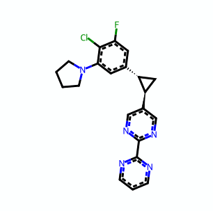 Fc1cc([C@@H]2C[C@H]2c2cnc(-c3ncccn3)nc2)cc(N2CCCC2)c1Cl